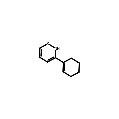 C1=CSNC(C2=CCCCC2)=C1